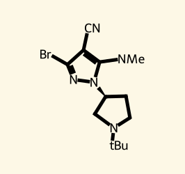 CNc1c(C#N)c(Br)nn1[C@H]1CCN(C(C)(C)C)C1